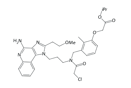 COCCc1nc2c(N)nc3ccccc3c2n1CCCN(Cc1cccc(OCC(=O)OC(C)C)c1C)C(=O)CCl